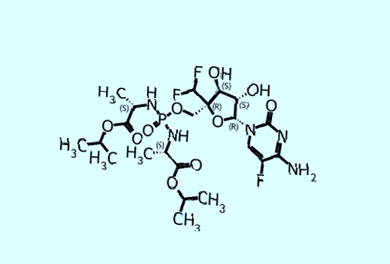 CC(C)OC(=O)[C@H](C)NP(=O)(N[C@@H](C)C(=O)OC(C)C)OC[C@@]1(C(F)F)O[C@@H](n2cc(F)c(N)nc2=O)[C@@H](O)[C@@H]1O